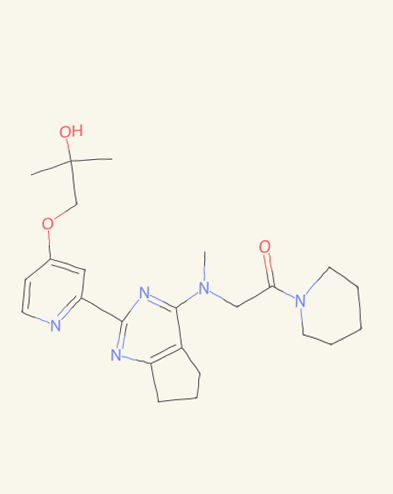 CN(CC(=O)N1CCCCC1)c1nc(-c2cc(OCC(C)(C)O)ccn2)nc2c1CCC2